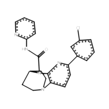 O=C(Nc1ccccn1)N1c2nc(-c3cccc(Cl)c3)ccc2N2CCC1CC2